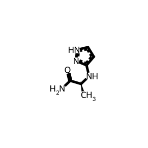 C[C@H](Nc1cc[nH]n1)C(N)=O